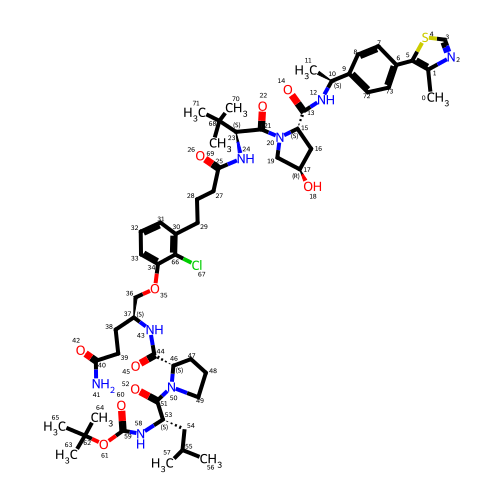 Cc1ncsc1-c1ccc([C@H](C)NC(=O)[C@@H]2C[C@@H](O)CN2C(=O)[C@@H](NC(=O)CCCc2cccc(OC[C@H](CCC(N)=O)NC(=O)[C@@H]3CCCN3C(=O)[C@H](CC(C)C)NC(=O)OC(C)(C)C)c2Cl)C(C)(C)C)cc1